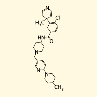 CC1CCN(c2ccc(CN3CCC(NC(=O)C4C=CC(Cl)=C(C5(C)C=CN=CC5)C4)CC3)cn2)CC1